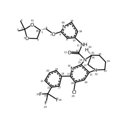 CC1(C)OC[C@@H](COc2cc(NC(=O)N3c4nc(-c5cccc(C(F)(F)F)c5)c(Cl)cc4N4CCC[C@H]3C4)ccn2)O1